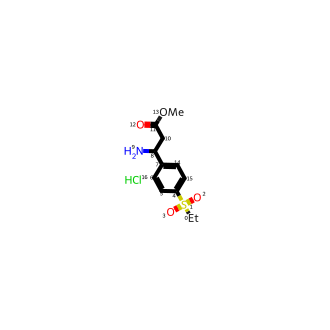 CCS(=O)(=O)c1ccc(C(N)CC(=O)OC)cc1.Cl